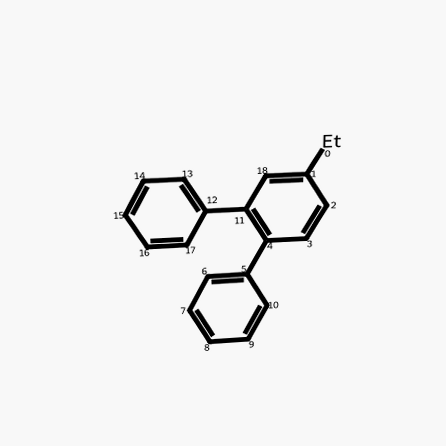 CCc1ccc(-c2ccccc2)c(-c2ccccc2)c1